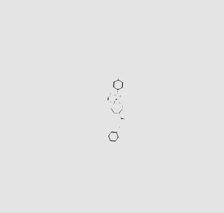 COc1ccc(S(=O)(=O)N2CC=C(C(=O)OCc3ccccc3)C=CN2C(=O)O)cc1